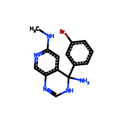 CNc1cc2c(cn1)N=CNC2(N)c1cccc(Br)c1